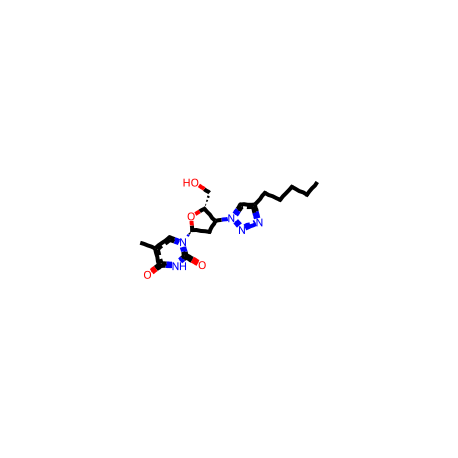 CCCCCc1cn(C2C[C@H](n3cc(C)c(=O)[nH]c3=O)O[C@@H]2CO)nn1